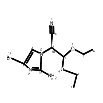 CCOC(OCC)[C@H](C#N)n1cc(Br)nc1N